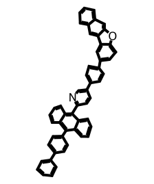 c1ccc(-c2ccc(-c3c4ccccc4c(-c4ccc(-c5ccc(-c6ccc7oc8cc9ccccc9cc8c7c6)cc5)cn4)c4ccccc34)cc2)cc1